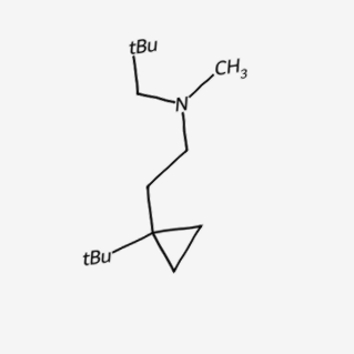 CN(CCC1(C(C)(C)C)CC1)CC(C)(C)C